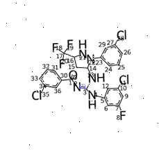 O=C(/N=C(/Nc1cc(F)cc(Cl)c1)NC1CC(C(F)(F)F)NN1c1cccc(Cl)c1)c1cccc(Cl)c1